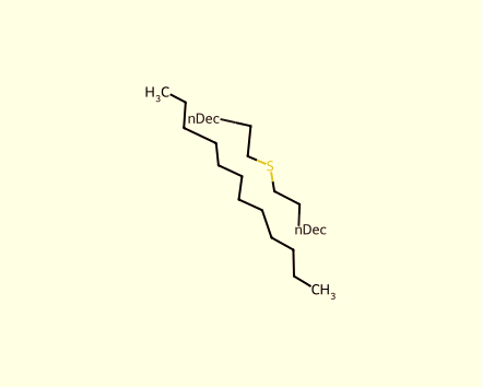 CCCCCCCCCCCC.CCCCCCCCCCCCSCCCCCCCCCCCC